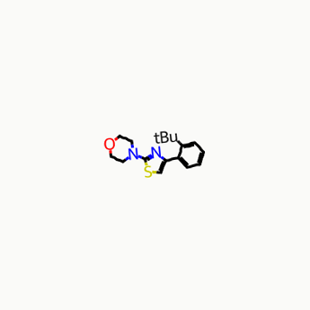 CC(C)(C)c1ccccc1-c1csc(N2CCOCC2)n1